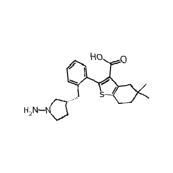 CC1(C)CCc2sc(-c3ccccc3C[C@@H]3CCN(N)C3)c(C(=O)O)c2C1